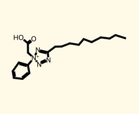 CCCCCCCCCCC1=N[N+](CC(=O)O)(c2ccccc2)N=N1